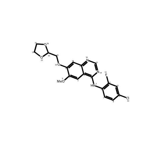 COc1cc2c(Nc3ccc(Cl)cc3F)ncnc2cc1OCC1OCCO1